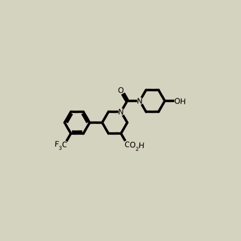 O=C(O)C1CC(c2cccc(C(F)(F)F)c2)CN(C(=O)N2CCC(O)CC2)C1